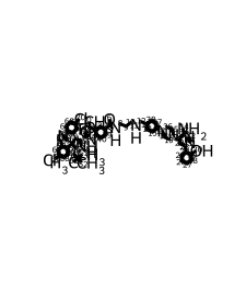 COc1cc(C(=O)NCCCNCc2ccc(N3CCN(c4cc(-c5ccccc5O)nnc4N)CC3)cc2)ccc1NC(=O)[C@@H]1N[C@@H](CC(C)(C)C)[C@](C#N)(c2ccc(Cl)cc2F)[C@H]1c1cccc(Cl)c1F